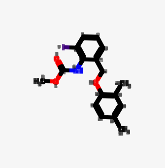 COC(=O)Nc1c(I)cccc1COc1ccc(C)cc1C